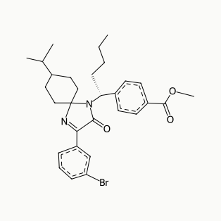 CCCC[C@H](c1ccc(C(=O)OC)cc1)N1C(=O)C(c2cccc(Br)c2)=NC12CCC(C(C)C)CC2